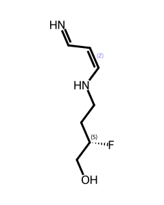 N=C/C=C\NCC[C@H](F)CO